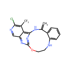 C=C1Nc2nc(nc3cnc(Cl)c(C(F)(F)F)c23)OCCNc2ccccc21